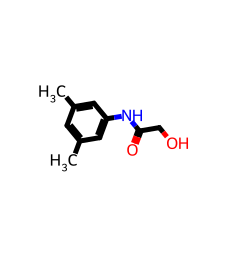 Cc1cc(C)cc(NC(=O)CO)c1